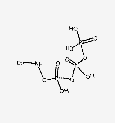 CCNOP(=O)(O)OP(=O)(O)OP(=O)(O)O